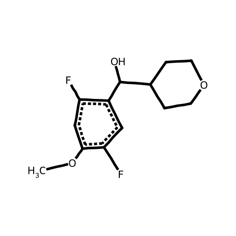 COc1cc(F)c(C(O)C2CCOCC2)cc1F